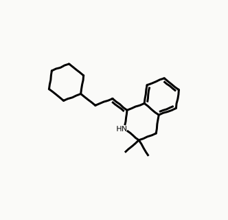 CC1(C)Cc2ccccc2/C(=C/CC2CCCCC2)N1